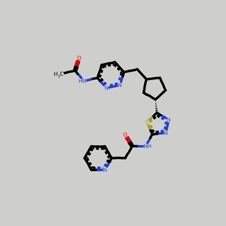 CC(=O)Nc1ccc(CC2CC[C@H](c3nnc(NC(=O)Cc4ccccn4)s3)C2)nn1